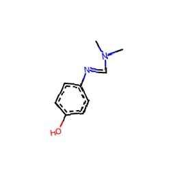 CN(C)C=Nc1ccc(O)cc1